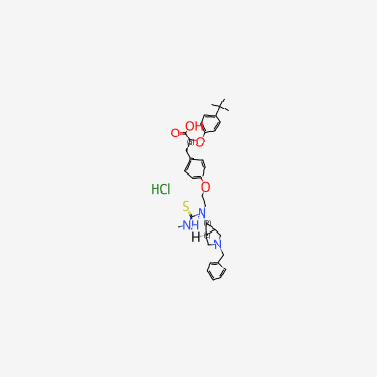 CNC(=S)N(CCOc1ccc(C[C@H](Oc2ccc(C(C)(C)C)cc2)C(=O)O)cc1)[C@@H]1C2CN(Cc3ccccc3)C[C@H]21.Cl